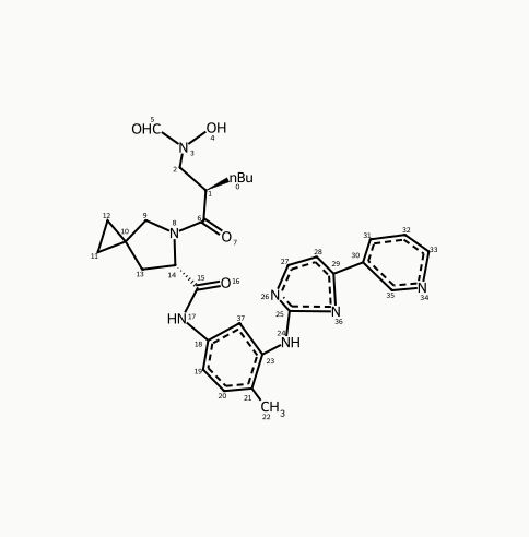 CCCC[C@H](CN(O)C=O)C(=O)N1CC2(CC2)C[C@H]1C(=O)Nc1ccc(C)c(Nc2nccc(-c3cccnc3)n2)c1